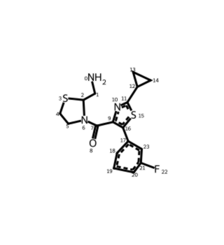 NCC1SCCN1C(=O)c1nc(C2CC2)sc1-c1cccc(F)c1